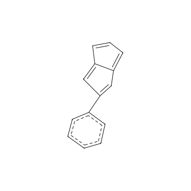 C1=CC2=CC(c3ccccc3)=CC2=C1